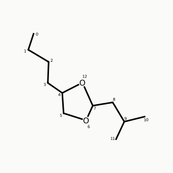 CCCCC1COC(CC(C)C)O1